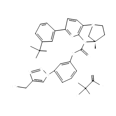 NCc1cn(-c2cccc(NC(=O)N3c4nc(-c5cccc(C(F)(F)F)c5)ccc4N4CC[C@H]3C4)c2)nn1.O=C(O)C(F)(F)F